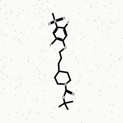 CC(C)(C)OC(=O)N1CCC(CCCOc2cc(F)c(S(C)(=O)=O)cc2F)CC1